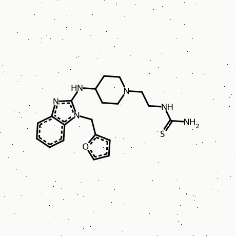 NC(=S)NCCN1CCC(Nc2nc3ccccc3n2Cc2ccco2)CC1